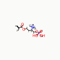 C=C(C)C(=O)OCCC(COP(=O)(O)O)[N+](C)(C)C